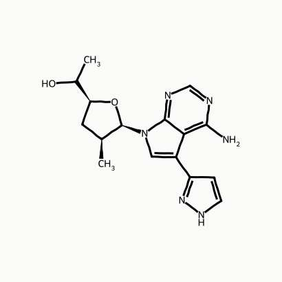 CC(O)[C@@H]1C[C@H](C)[C@H](n2cc(-c3cc[nH]n3)c3c(N)ncnc32)O1